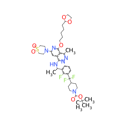 Cc1nnc(N[C@H](C)c2cccc(C(F)(F)C3CCN(C(=O)OC(C)(C)C)CC3)c2F)c2cc(N3CCS(=O)(=O)CC3)nc(OCCCCCC3OCCO3)c12